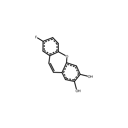 Oc1cc2c(cc1O)Oc1ccc(F)cc1C=C2